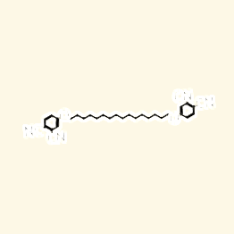 N#Cc1ccc(OCCCCCCCCCCCCCCCCOc2ccc(C#N)c(C#N)c2)cc1C#N